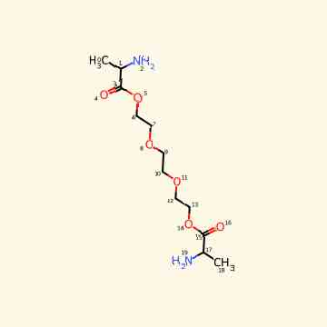 CC(N)C(=O)OCCOCCOCCOC(=O)C(C)N